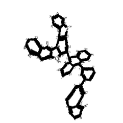 c1cc(-c2ccc3ccccc3c2)cc(-c2c3ccccc3c(-c3cc4sc5ccccc5c4c4c3oc3cc5ccccc5cc34)c3ccccc23)c1